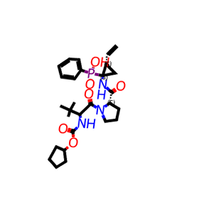 C=C[C@@H]1C[C@]1(NC(=O)[C@@H]1CCCN1C(=O)C(NC(=O)OC1CCCC1)C(C)(C)C)P(=O)(O)c1ccccc1